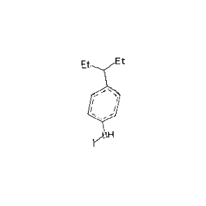 CCC(CC)c1ccc(BI)cc1